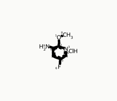 COc1ncc(F)cc1N.Cl